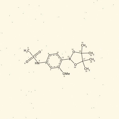 COc1cc(NS(C)(=O)=O)ccc1B1OC(C)(C)C(C)(C)O1